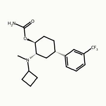 CN(C1CCC1)[C@H]1C[C@@H](c2cccc(C(F)(F)F)c2)CC[C@@H]1OC(N)=O